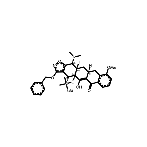 COc1cc[c]c2c1C[C@H]1C[C@H]3[C@H](N(C)C)c4onc(OCc5ccccc5)c4C(=O)[C@@]3(O[Si](C)(C)C(C)(C)C)C(O)=C1C2=O